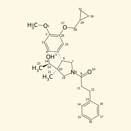 COc1ccc([C@@H]2CN(C(=O)CCc3ccccc3)C[C@@]2(C)[C@@H](C)O)cc1OCC1CC1